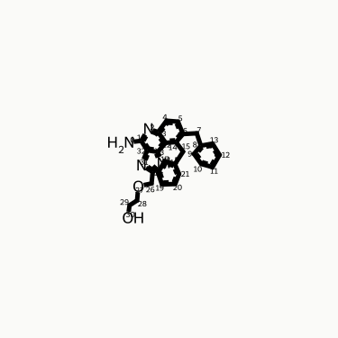 Nc1nc2ccc(Cc3ccccc3)c(Cc3ccccc3)c2c2[nH]c(COCCO)nc12